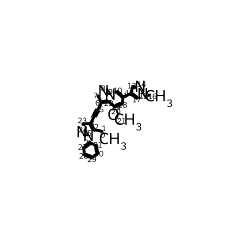 CCc1c(C#Cc2cnn3cc(-c4cnn(C)c4)cc(OC)c23)cnn1-c1ccccc1